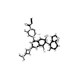 C=CC(=O)N1C[C@H](C)N(c2nc(N3CC(N(C)C)C3)nc3c(F)c(-c4c(C)ccc5occc45)c(Cl)cc23)C[C@H]1C